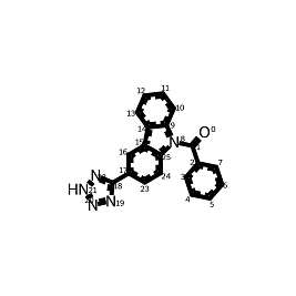 O=C(c1ccccc1)n1c2ccccc2c2cc(-c3nn[nH]n3)ccc21